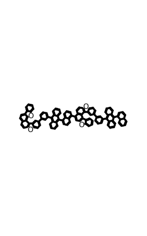 C1=CC2C=CC=C(c3c4ccccc4c(-c4cccc(-c5ccc6oc7ccc8c(-c9cccc%10c(-c%11c%12ccccc%12c(-c%12cccc(-c%13ccc%14oc%15ccc%16ccc%17c%18ccccc%18oc%17c%16c%15c%14c%13)c%12)c%12ccccc%11%12)cccc9%10)cc9oc%10ccccc%10c9c8c7c6c5)c4)c4ccccc34)C2C=C1